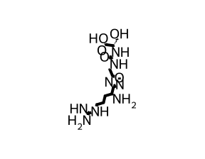 N=C(N)NCCC[C@H](N)c1noc(CNC(=O)N[C@@H](CO)C(=O)O)n1